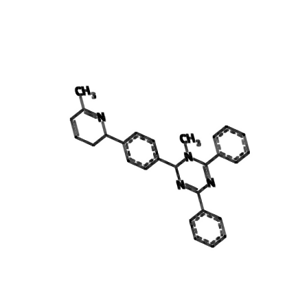 CC1=NC(c2ccc(C3N=C(c4ccccc4)N=C(c4ccccc4)N3C)cc2)CC=C1